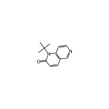 CC(C)(C)n1c(=O)ccc2cnccc21